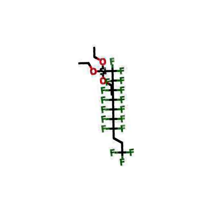 CCO[Si](OCC)(OCC)C(F)(F)C(F)(F)C(F)(F)C(F)(F)C(F)(F)C(F)(F)C(F)(F)CCC(F)(F)F